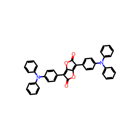 O=C1OC2=C(c3ccc(N(c4ccccc4)c4ccccc4)cc3)C(=O)OC2=C1c1ccc(N(c2ccccc2)c2ccccc2)cc1